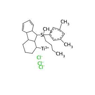 CCCC[Si](C)(c1cc(C)cc(C)c1)C1C2C=CC=CC2C2CCC[CH]([Ti+3])C21.[Cl-].[Cl-].[Cl-]